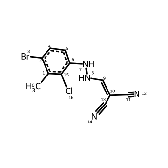 Cc1c(Br)ccc(NNC=C(C#N)C#N)c1Cl